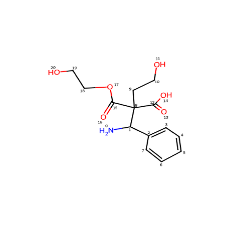 NC(c1ccccc1)C(CCO)(C(=O)O)C(=O)OCCO